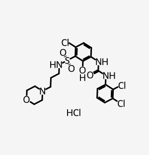 Cl.O=C(Nc1ccc(Cl)c(S(=O)(=O)NCCCN2CCOCC2)c1O)Nc1cccc(Cl)c1Cl